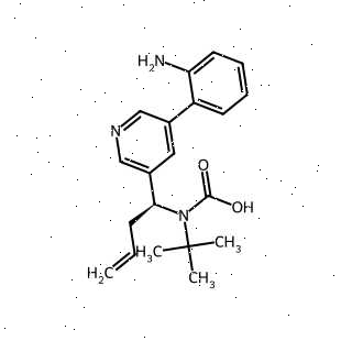 C=CC[C@@H](c1cncc(-c2ccccc2N)c1)N(C(=O)O)C(C)(C)C